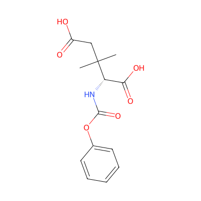 CC(C)(CC(=O)O)[C@@H](NC(=O)Oc1ccccc1)C(=O)O